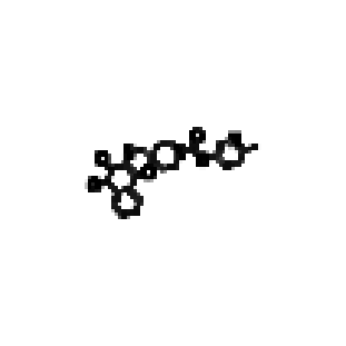 Cc1ccc(OC(=O)N2CCC3(CC2)CSC2=C(O3)c3ccccc3C(=O)C2=O)cn1